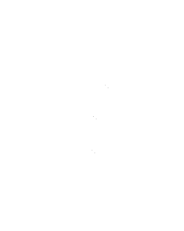 CN1C(=NC2CCCCCC2)SCC1N(C=O)Cc1cccc(F)c1